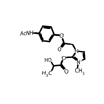 CC(=O)Nc1ccc(OC(=O)Cn2cc[n+](C)c2OC(=O)C(C)O)cc1